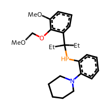 CCC(CC)(Pc1ccccc1N1CCCCC1)c1cccc(OC)c1OCOC